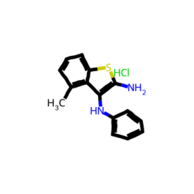 Cc1cccc2sc(N)c(Nc3ccccc3)c12.Cl